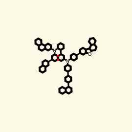 c1cc(-c2ccccc2N(c2cccc(-c3ccc4ccccc4c3)c2)c2ccc3c(ccc4ccccc43)c2)cc(N(c2ccc(-c3ccc(-c4cccc5ccccc45)cc3)cc2)c2ccc(-c3ccc4c(c3)oc3ccc5ccccc5c34)cc2)c1